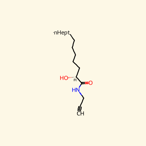 C#CCNC(=O)[C@H](O)CCCCC[CH]CCCCCC